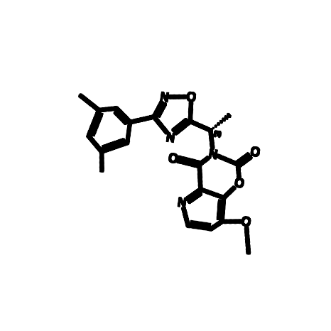 COc1ccnc2c(=O)n([C@@H](C)c3nc(-c4cc(C)cc(C)c4)no3)c(=O)oc12